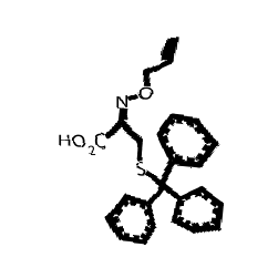 C=CCO/N=C(\CSC(c1ccccc1)(c1ccccc1)c1ccccc1)C(=O)O